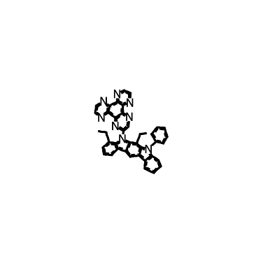 CCc1cccc2c3cc4c5ccccc5n(-c5ccccc5)c4c(CC)c3n(-c3cnc4c5nccnc5c5nccnc5c4n3)c12